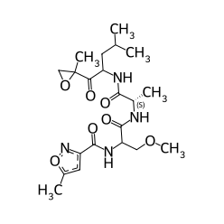 COCC(NC(=O)c1cc(C)on1)C(=O)N[C@@H](C)C(=O)NC(CC(C)C)C(=O)C1(C)CO1